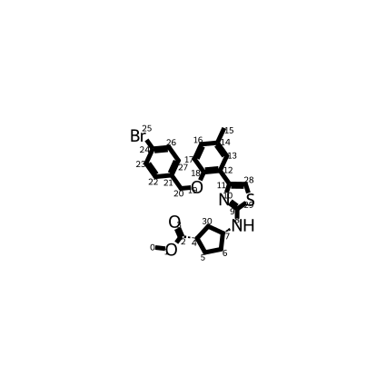 COC(=O)[C@H]1CC[C@@H](Nc2nc(-c3cc(C)ccc3OCc3ccc(Br)cc3)cs2)C1